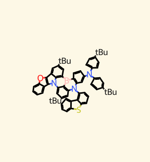 CC(C)(C)c1ccc(N(c2ccc(C(C)(C)C)cc2)c2ccc3c(c2)N(c2cccc4sc5ccccc5c24)c2cc(C(C)(C)C)cc4c2B3c2cc(C(C)(C)C)cc3c5oc6ccccc6c5n-4c23)cc1